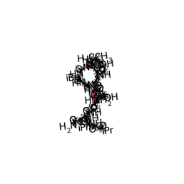 CC[C@H](C)[C@@H]1NC(=O)CNC(=O)[C@@H](NC(=O)[C@@H](C)[C@@H](C)[C@@H](O)CO)Cc2c([nH]c3ccccc23)SC[C@@H](C(=O)N[C@@H](CC(=O)NCc2ccc(NC(=O)[C@H](CCCNC(N)=O)NC(=O)[C@@H](NC(=O)CCC(=O)C(C)C)C(C)C)cc2)C(=O)N2C[C@H](O)C[C@H]2C(N)=O)NC(=O)CNC1=O